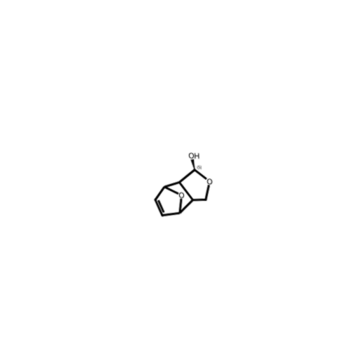 O[C@H]1OCC2C3C=CC(O3)C21